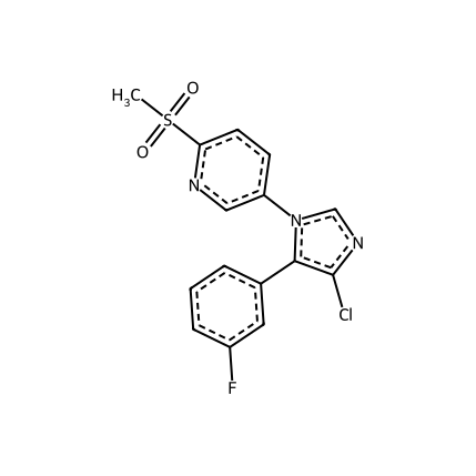 CS(=O)(=O)c1ccc(-n2cnc(Cl)c2-c2cccc(F)c2)cn1